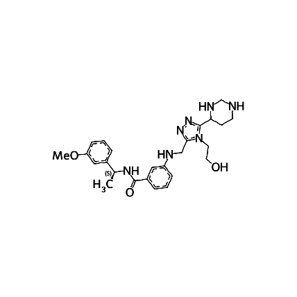 COc1cccc([C@H](C)NC(=O)c2cccc(NCc3nnc(C4CCNCN4)n3CCO)c2)c1